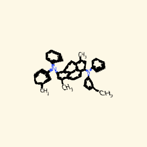 Cc1cccc(N(c2ccccc2)c2cc(C)c3ccc4c(N(c5ccccc5)c5cccc(C)c5)cc(C)c5ccc2c3c54)c1